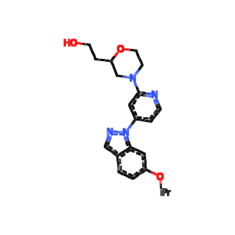 CC(C)Oc1ccc2cnn(-c3ccnc(N4CCOC(CCO)C4)c3)c2c1